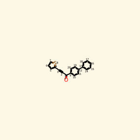 O=C(C#Cc1cccs1)c1ccc(-c2ccccc2)cc1